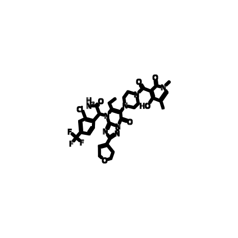 CCc1c(N2CCN(C(=O)c3c(O)c(C)cn(C)c3=O)CC2)c(=O)n2nc(C3=CCOCC3)nc2n1C(C(N)=O)c1ccc(C(F)(F)F)cc1Cl